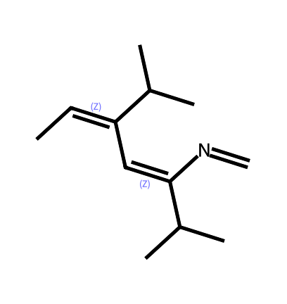 C=N/C(=C\C(=C/C)C(C)C)C(C)C